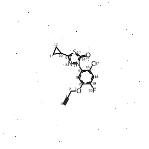 C#CCOc1cc(-n2nc(C3CC3)sc2=O)c(Cl)cc1F